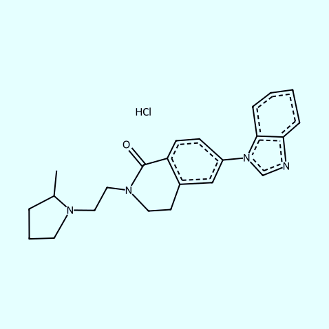 CC1CCCN1CCN1CCc2cc(-n3cnc4ccccc43)ccc2C1=O.Cl